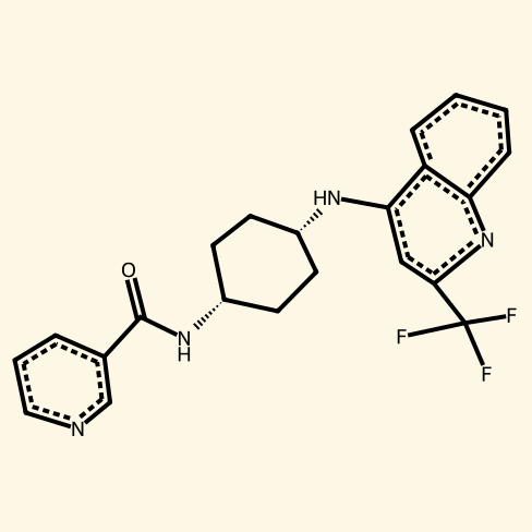 O=C(N[C@H]1CC[C@@H](Nc2cc(C(F)(F)F)nc3ccccc23)CC1)c1cccnc1